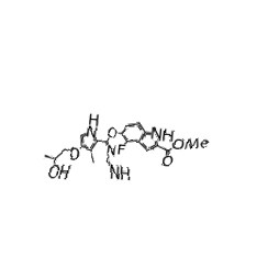 COC(=O)c1cc2c(F)c(O/C(=N/C=N)c3[nH]cc(OC[C@H](C)O)c3C)ccc2[nH]1